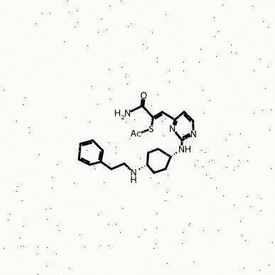 CC(=O)S/C(=C\c1ccnc(N[C@H]2CC[C@@H](NCCc3ccccc3)CC2)n1)C(N)=O